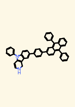 C1=Cc2c(c3cc(-c4ccc(-c5ccc6c(-c7ccccc7)c7ccccc7c(-c7ccccc7)c6c5)cc4)ccc3n2-c2ccccc2)CN1